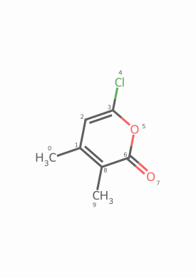 Cc1cc(Cl)oc(=O)c1C